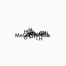 COC(=O)c1cc(C)c(NC(=O)c2nc(N3CCCC(CN[Si](C)(C)C(C)(C)C)C3)ccc2C)c(C)c1